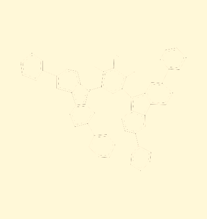 N#Cc1c(F)c(-n2c3ccc(-c4ccccc4)cc3c3ccc(-c4ccccc4)cc32)cc(-n2c3ccc(-c4ccccc4)cc3c3ccc(-c4ccccc4)cc32)c1F